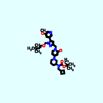 COc1cncc(-c2cc(Cn3ccc(N4CCC[C@@H](N(CC5CCC5)C(=O)OC(C)(C)C)C4)cc3=O)nn2COCC[Si](C)(C)C)c1